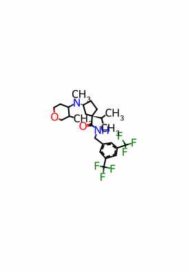 CC1COCCC1N(C)[C@@H]1CC[C@@](C(=O)NCc2cc(C(F)(F)F)cc(C(F)(F)F)c2)(C(C)C)C1